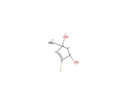 CCCCC1(O)C=C(F)C(O)C1